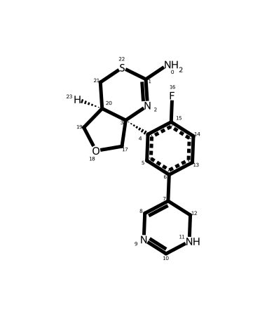 NC1=N[C@@]2(c3cc(C4=CN=CNC4)ccc3F)COC[C@H]2CS1